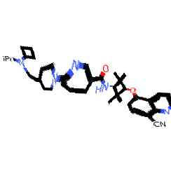 CC(C)N(CC1CCN(c2ccc(C(=O)N[C@H]3C(C)(C)[C@H](Oc4ccc(C#N)c5ncccc45)C3(C)C)cn2)CC1)C1CCC1